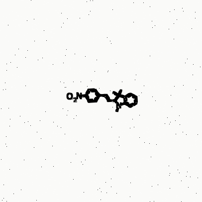 CN1c2ccccc2C(C)(C)C1C=Cc1ccc([N+](=O)[O-])cc1